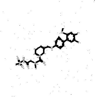 COc1cc(F)c(F)cc1-c1ccc(OCC2CCCN(C(=O)N(C)CC(=O)NS(C)(=O)=O)C2)cc1